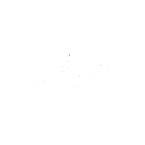 COC(=O)COc1ccc(C[C@H]2C(=O)N(Cc3cccc4sc(N)nc34)C[C@H]3N2C(=O)CN3N(C)C(=O)NCc2ccc(OC)cc2)cc1